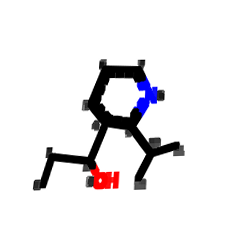 CCC(O)c1cccnc1C(C)C